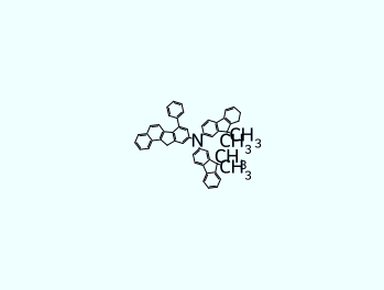 CC1(C)C2=C(C=CCC2)c2ccc(N(c3cc4c(c(-c5ccccc5)c3)-c3ccc5ccccc5c3C4)c3ccc4c(c3)C(C)(C)c3ccccc3-4)cc21